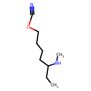 CCC(CCCCOC#N)NC